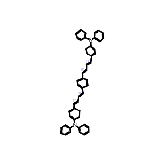 C1=C(/C=C/C=C/c2ccc(/C=C/C=C/C3=CC=C(N(c4ccccc4)c4ccccc4)CC3)cc2)CCC(N(c2ccccc2)c2ccccc2)=C1